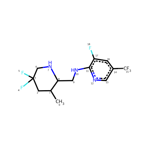 CC1CC(F)(F)CNC1CNc1ncc(C(F)(F)F)cc1F